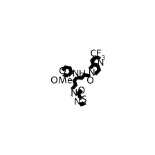 COC1COCCC1NC(CCCN(C)C(=O)c1nccs1)CCC(=O)N1CCc2ncc(C(F)(F)F)cc2C1